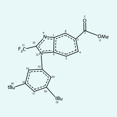 COC(=O)c1ccc2c(c1)nc(C(F)(F)F)n2-c1cc(C(C)(C)C)cc(C(C)(C)C)c1